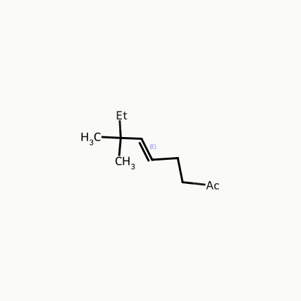 CCC(C)(C)/C=C/CCC(C)=O